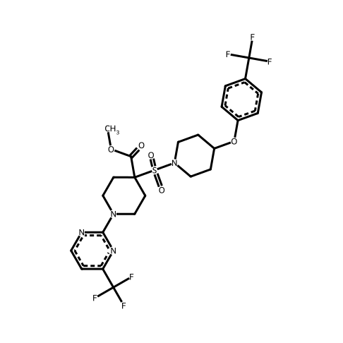 COC(=O)C1(S(=O)(=O)N2CCC(Oc3ccc(C(F)(F)F)cc3)CC2)CCN(c2nccc(C(F)(F)F)n2)CC1